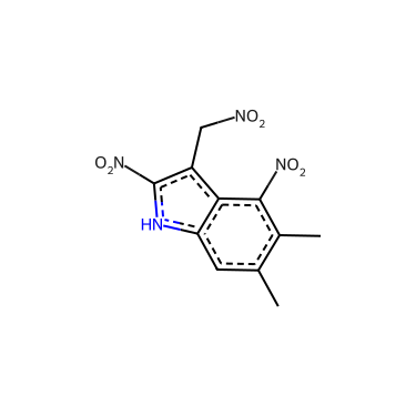 Cc1cc2[nH]c([N+](=O)[O-])c(C[N+](=O)[O-])c2c([N+](=O)[O-])c1C